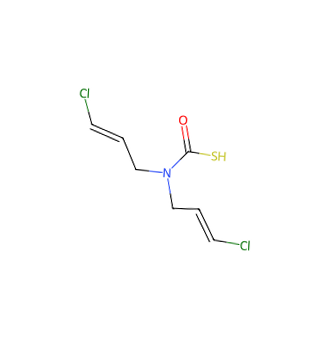 O=C(S)N(CC=CCl)CC=CCl